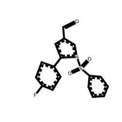 O=Cc1cc(-c2ccc(F)cc2)n(S(=O)(=O)c2ccccc2)c1